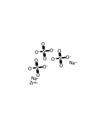 O=S(=O)([O-])[O-].O=S(=O)([O-])[O-].O=S(=O)([O-])[O-].[Na+].[Na+].[Zr+4]